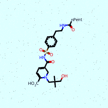 CCCCCC(=O)NCCc1ccc(S(=O)(=O)NC(=O)C2=CC=C(C(=O)O)N(CC(C)(C)CO)C2)cc1